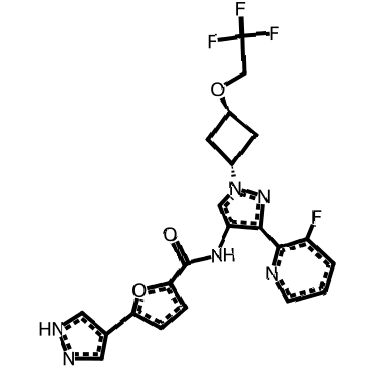 O=C(Nc1cn([C@H]2C[C@H](OCC(F)(F)F)C2)nc1-c1ncccc1F)c1ccc(-c2cn[nH]c2)o1